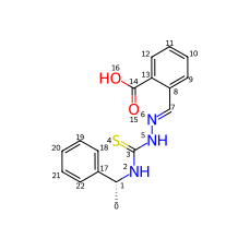 C[C@@H](NC(=S)N/N=C/c1ccccc1C(=O)O)c1ccccc1